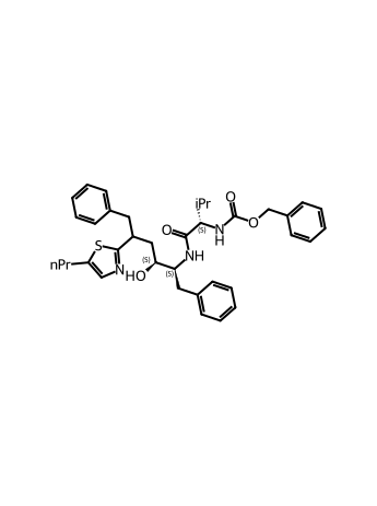 CCCc1cnc(C(Cc2ccccc2)C[C@H](O)[C@H](Cc2ccccc2)NC(=O)[C@@H](NC(=O)OCc2ccccc2)C(C)C)s1